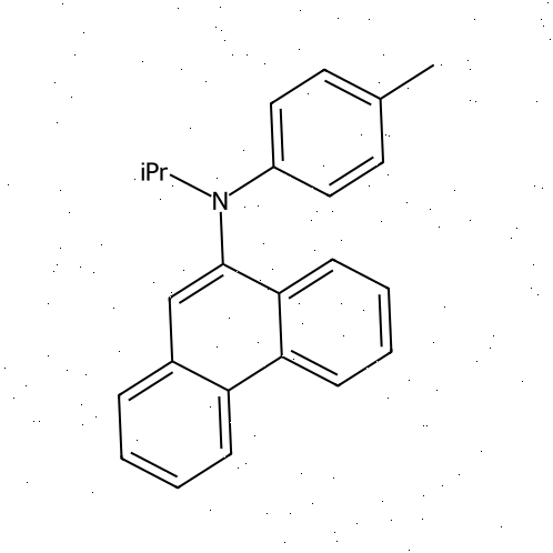 Cc1ccc(N(c2cc3ccccc3c3ccccc23)C(C)C)cc1